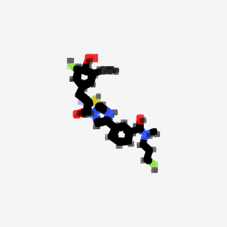 COc1cc(/C=c2\sc3nc(-c4cccc(C(=O)N(C)CCCF)c4)cn3c2=O)cc(F)c1O